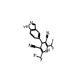 N#CC1=C(C(F)F)NC(C(F)F)=C(C#N)C1c1ccc2[nH]ncc2c1